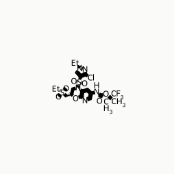 CCn1cc(S(=O)(=O)N2C[C@H](CS(=O)(=O)CC)Oc3ncc(NC(=O)OC(C)(C)C(F)(F)F)cc32)c(Cl)n1